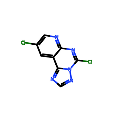 Clc1cnc2nc(Cl)n3ncnc3c2c1